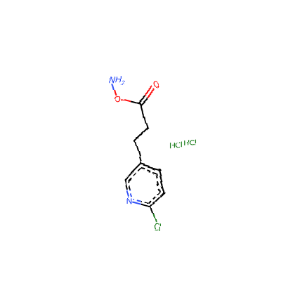 Cl.Cl.NOC(=O)CCc1ccc(Cl)nc1